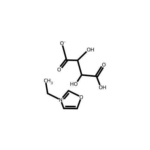 CC[n+]1ccoc1.O=C([O-])C(O)C(O)C(=O)O